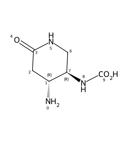 N[C@@H]1CC(=O)NC[C@H]1NC(=O)O